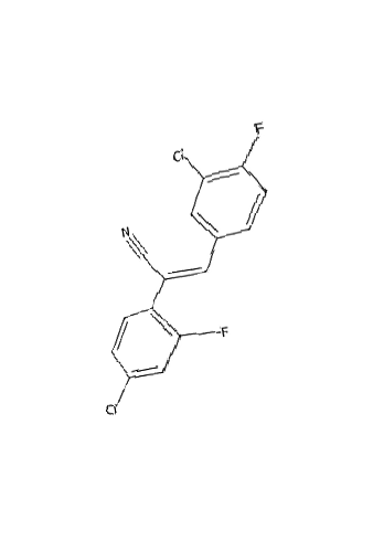 N#CC(=Cc1ccc(F)c(Cl)c1)c1ccc(Cl)cc1F